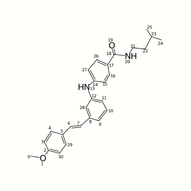 COc1ccc(/C=C/c2cccc(Nc3ccc(C(=O)NCCC(C)C)cc3)c2)cc1